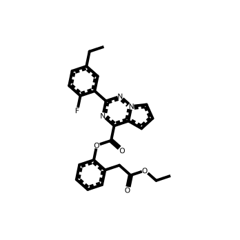 CCOC(=O)Cc1ccccc1OC(=O)c1nc(-c2cc(CC)ccc2F)nn2cccc12